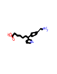 NCCc1ccc(C(CCCCCC(=O)O)c2cccnc2)cc1